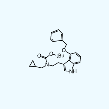 CC(C)(C)OC(=O)N(CCc1c[nH]c2cccc(OCc3ccccc3)c12)CC1CC1